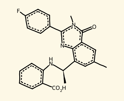 Cc1cc([C@@H](C)Nc2ccccc2C(=O)O)c2nc(-c3ccc(F)cc3)n(C)c(=O)c2c1